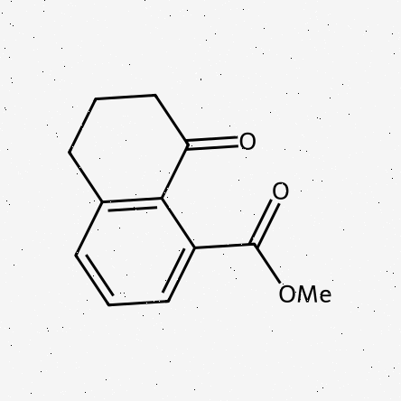 COC(=O)c1cccc2c1C(=O)CCC2